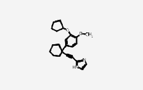 COc1ccc(C2(C#Cc3ncc[nH]3)CCCCC2)cc1OC1CCCC1